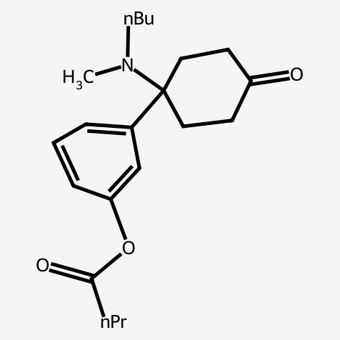 CCCCN(C)C1(c2cccc(OC(=O)CCC)c2)CCC(=O)CC1